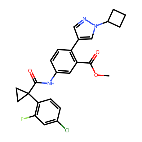 COC(=O)c1cc(NC(=O)C2(c3ccc(Cl)cc3F)CC2)ccc1-c1cnn(C2CCC2)c1